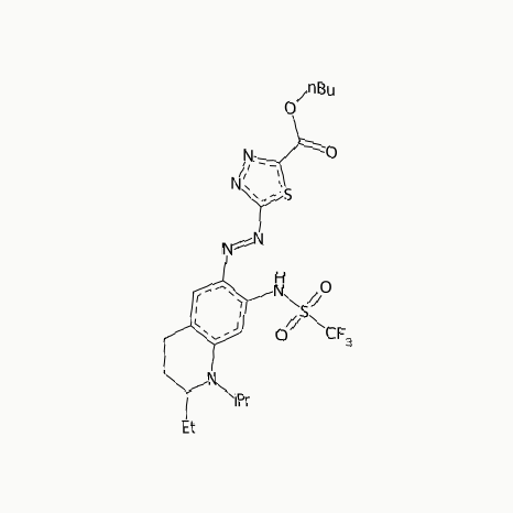 CCCCOC(=O)c1nnc(N=Nc2cc3c(cc2NS(=O)(=O)C(F)(F)F)N(C(C)C)C(CC)CC3)s1